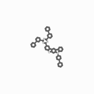 c1ccc(-c2ccc(-n3c4ccccc4c4cc5c(cc43)oc3ccc(-c4nc(-c6cccc(-c7ccccc7)c6)nc(-c6cccc(-c7ccccc7)c6)n4)cc35)cc2)cc1